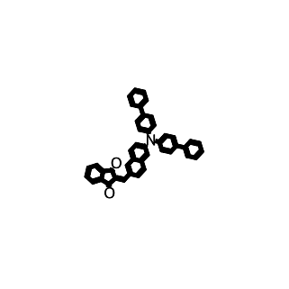 O=C1C(=Cc2ccc3cc(N(c4ccc(-c5ccccc5)cc4)c4ccc(-c5ccccc5)cc4)ccc3c2)C(=O)c2ccccc21